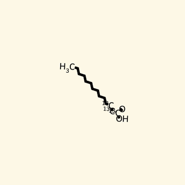 CCCCCCCCCCC[13CH2][13CH2][13C](=O)O